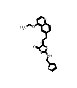 CCOc1ccnc2ccc(C/C=C3\SC(NCc4cccs4)=NC3=O)cc12